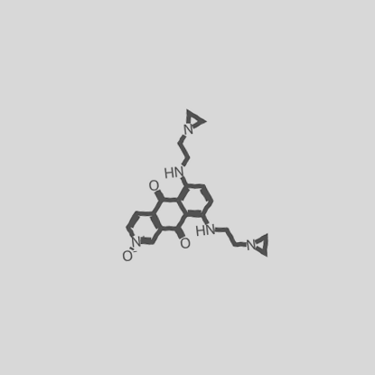 O=C1c2cc[n+]([O-])cc2C(=O)c2c(NCCN3CC3)ccc(NCCN3CC3)c21